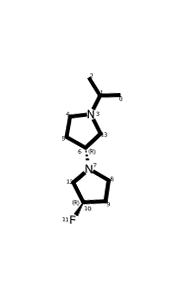 CC(C)N1CC[C@@H](N2CC[C@@H](F)C2)C1